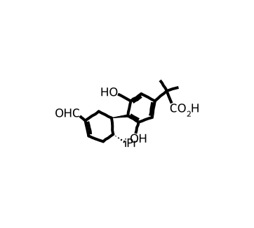 CC(C)[C@@H]1CC=C(C=O)C[C@H]1c1c(O)cc(C(C)(C)C(=O)O)cc1O